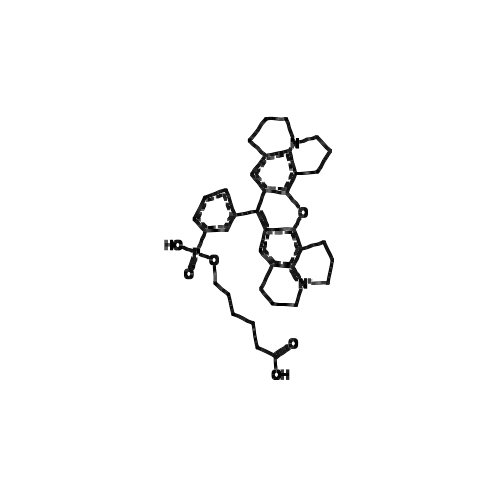 O=C(O)CCCCCOP(=O)(O)c1cccc(C2=c3cc4c5c(c3Oc3c2cc2c6c3CCCN6CCC2)CCC[N+]=5CCC4)c1